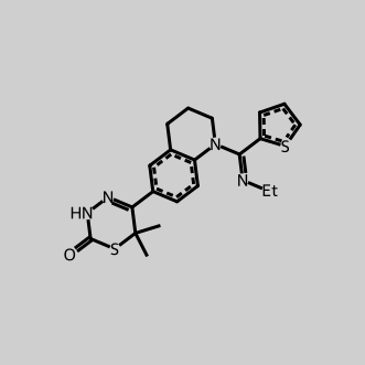 CCN=C(c1cccs1)N1CCCc2cc(C3=NNC(=O)SC3(C)C)ccc21